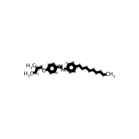 CCCCCCCCCc1ccc(N=Nc2ccc(OC[C@@H](C)CC)cc2)cc1